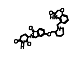 O=C1CCC(N2Cc3cc(OCC4CCCCN4Cc4cccc5c4NC(=O)CO5)ccc3C2=O)C(=O)N1